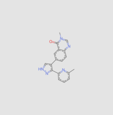 Cc1cccc(-c2n[nH]cc2-c2ccc3ncn(C)c(=O)c3c2)n1